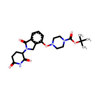 CC(C)(C)OC(=O)N1CCN(Oc2cccc3c2CN(C2CCC(=O)NC2=O)C3=O)CC1